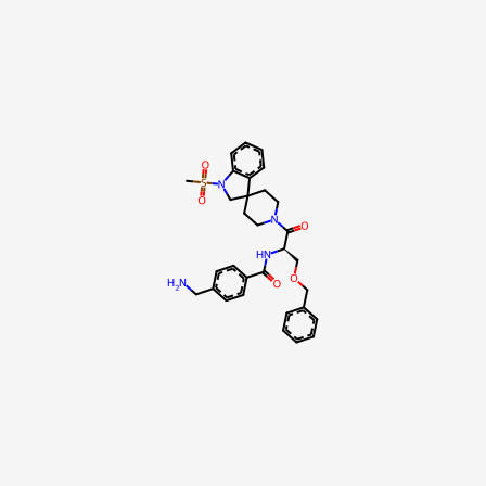 CS(=O)(=O)N1CC2(CCN(C(=O)[C@@H](COCc3ccccc3)NC(=O)c3ccc(CN)cc3)CC2)c2ccccc21